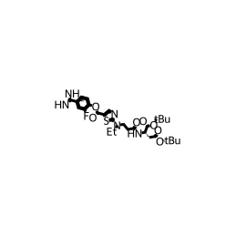 CCN(CCC(=O)N[C@@H](CC(=O)OC(C)(C)C)C(=O)OC(C)(C)C)c1ncc(C(=O)Oc2ccc(C(=N)N)cc2F)s1